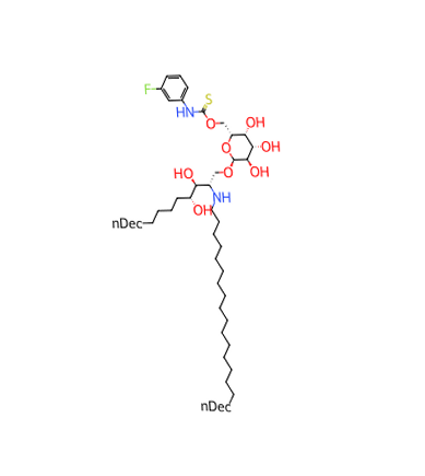 CCCCCCCCCCCCCCCCCCCCCCCCCCN[C@@H](CO[C@H]1O[C@H](COC(=S)Nc2cccc(F)c2)[C@H](O)[C@H](O)[C@H]1O)[C@H](O)[C@H](O)CCCCCCCCCCCCCC